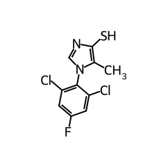 Cc1c(S)ncn1-c1c(Cl)cc(F)cc1Cl